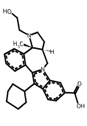 C[C@]12c3ccccc3-c3c(C4CCCCC4)c4ccc(C(=O)O)cc4n3C[C@@H]1CCN2CCO